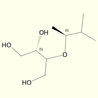 CC(C)[C@H](C)OC(CO)[C@@H](O)CO